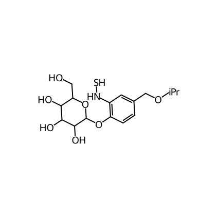 CC(C)OCc1ccc(OC2OC(CO)C(O)C(O)C2O)c(NS)c1